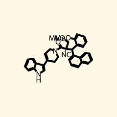 COC[C@](C#N)(C(=O)N1CC=C(c2c[nH]c3ccccc23)CC1)C(c1ccccc1OC)c1cccc2ccccc12